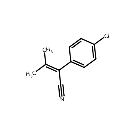 CC(C)=C(C#N)c1ccc(Cl)cc1